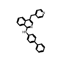 c1ccc(-c2ccc(Nc3ncc(Cc4ccncc4)c4ccccc34)cc2)cc1